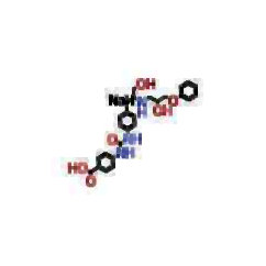 O=C(Nc1ccc(C[C@@H](CO)NC[C@H](O)COc2ccccc2)cc1)Nc1ccc(C(=O)O)cc1.[NaH]